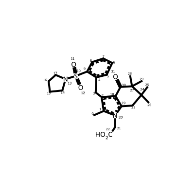 Cc1c(Cc2ccccc2S(=O)(=O)N2CCCC2)c2c(n1CC(=O)O)CC(C)(C)C(C)(C)C2=O